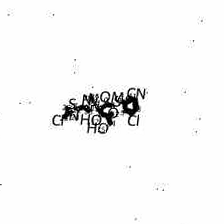 COC1C(Sc2cc(Cl)ccc2C#N)OC(CO)C(O)C1n1cc(-c2nc(Cl)cs2)nn1